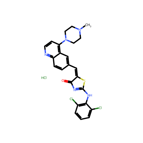 CN1CCN(c2ccnc3ccc(C=C4SC(Nc5c(Cl)cccc5Cl)=NC4=O)cc23)CC1.Cl